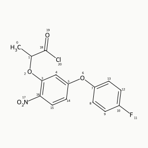 CC(Oc1cc(Oc2ccc(F)cc2)ccc1[N+](=O)[O-])C(=O)Cl